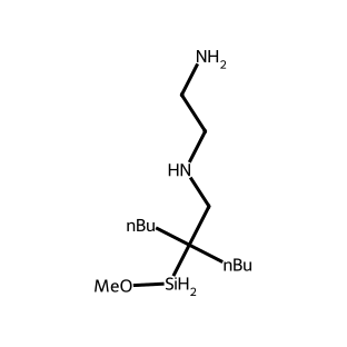 CCCCC(CCCC)(CNCCN)[SiH2]OC